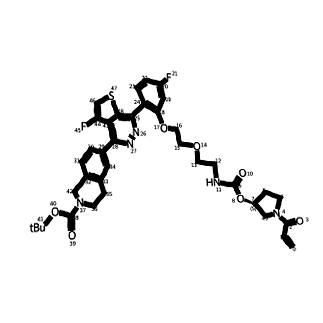 C=CC(=O)N1CC[C@H](OC(=O)NCCOCCOc2cc(F)ccc2-c2nnc(-c3ccc4c(c3)CCN(C(=O)OC(C)(C)C)C4)c3c(F)csc23)C1